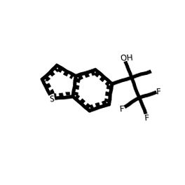 CC(O)(c1ccc2sccc2c1)C(F)(F)F